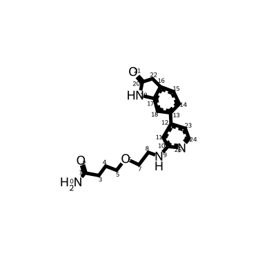 NC(=O)CCCOCCNc1cc(-c2ccc3c(c2)NC(=O)C3)ccn1